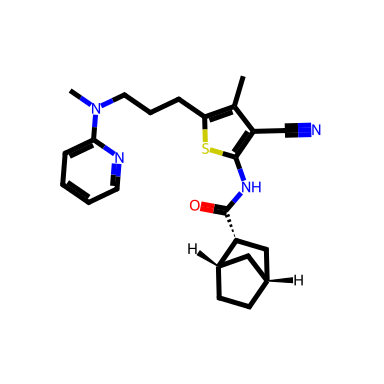 Cc1c(CCCN(C)c2ccccn2)sc(NC(=O)[C@@H]2C[C@@H]3CC[C@H]2C3)c1C#N